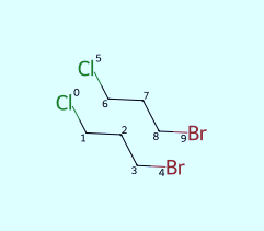 ClCCCBr.ClCCCBr